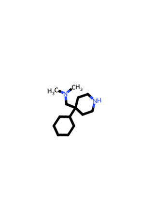 CN(C)CC1(C2CCCCC2)CCNCC1